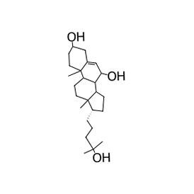 CC(C)(O)CCC[C@H]1CCC2C3C(O)C=C4CC(O)CCC4(C)C3CCC21C